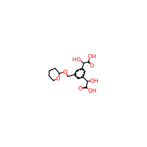 O=C(O)C(O)c1cc(COC2CCCCO2)cc(C(O)C(=O)O)c1